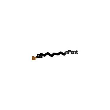 CCCCCCCCCCCC[CH2][Ba][Br]